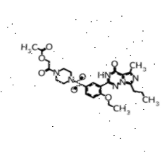 CCCc1nc(C)c2c(=O)[nH]c(-c3cc(S(=O)(=O)N4CCN(C(=O)COC(C)=O)CC4)ccc3OCC)nn12